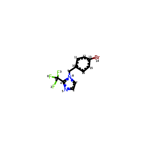 FC(F)(F)c1nccn1Cc1ccc(Br)cc1